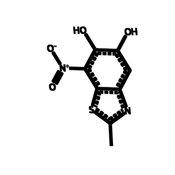 Cc1nc2cc(O)c(O)c([N+](=O)[O-])c2s1